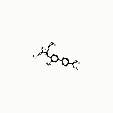 C=C=C(C)/C(=C/c1ccc(-c2ccc(C(=C)C)cc2)cc1C)CC=C